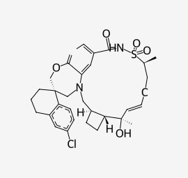 C=C1OC[C@]2(CCCc3cc(Cl)ccc32)CN2C[C@@H]3CC[C@H]3[C@](C)(O)/C=C/CC[C@H](C)S(=O)(=O)NC(=O)C(=C/C)/C=C\12